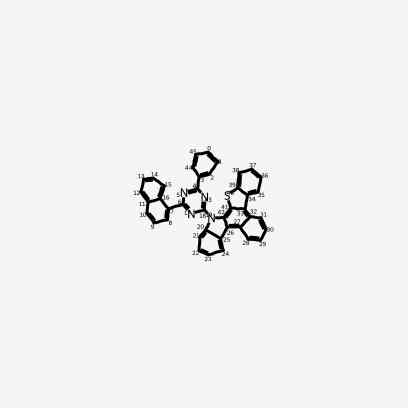 c1ccc(-c2nc(-c3cccc4ccccc34)nc(-n3c4ccccc4c4c5ccccc5c5c6ccccc6sc5c43)n2)cc1